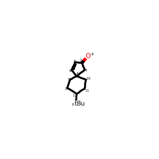 CC(C)(C)C1CCC2(C=CC(=O)C2)CC1